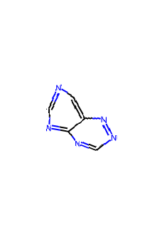 [c]1ncc2nncnc2n1